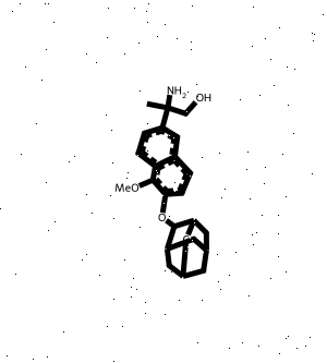 COc1c(OC2C3CC4CC(C3)CC2C4)ccc2cc(C(C)(N)CO)ccc12